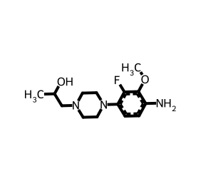 COc1c(N)ccc(N2CCN(CC(C)O)CC2)c1F